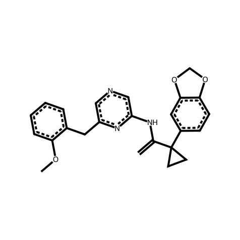 C=C(Nc1cncc(Cc2ccccc2OC)n1)C1(c2ccc3c(c2)OCO3)CC1